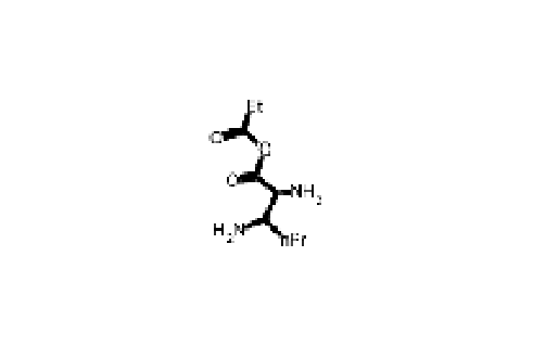 CCCC(N)[C@H](N)C(=O)OC(=O)CC